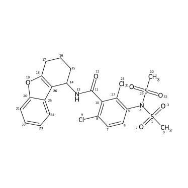 CS(=O)(=O)N(c1ccc(Cl)c(C(=O)NC2CCCc3oc4ccccc4c32)c1Cl)S(C)(=O)=O